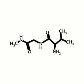 CNC(=O)CNC(=O)C(N)C(C)C